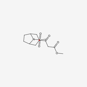 COC(=O)CC(=O)C1CC2CCC(C1)N2S(C)(=O)=O